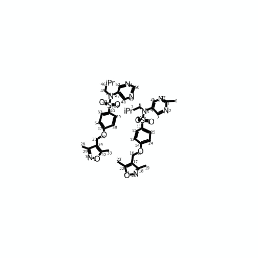 Cc1ncc(N(CC(C)C)S(=O)(=O)c2ccc(OCc3c(C)noc3C)cc2)cn1.Cc1noc(C)c1COc1ccc(S(=O)(=O)N(CC(C)C)c2cncnc2)cc1